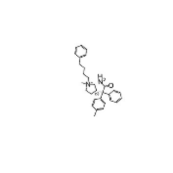 Cc1ccc(C(C(N)=O)(c2ccccc2)[C@@H]2CC[N+](C)(CCCCc3ccccc3)C2)cc1